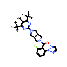 [2H]c1c(C([2H])([2H])[2H])nc(N2CC3CN(C(=O)c4c(F)cccc4-n4nccn4)CC3C2)nc1C([2H])([2H])[2H]